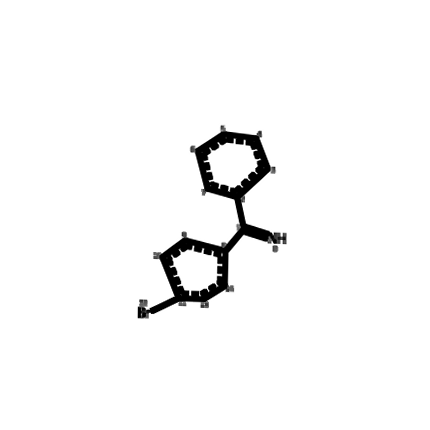 N=C(c1ccccc1)c1ccc(Br)cc1